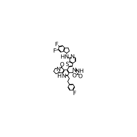 O=C1c2c(nc(CCc3ccc(F)cc3)c(-c3n[nH]c(=O)o3)c2-c2cc3ccnc(N[C@@H]4CCc5cc(F)c(F)cc54)c3s2)[C@@H]2CCCN12